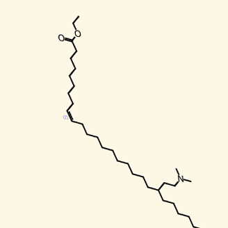 CCCCCCCC(CCCCCCCCCC/C=C\CCCCCCCC(=O)OCC)CCN(C)C